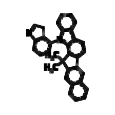 CC1(C)c2cc3ccccc3cc2-c2ccc3c4ccccc4n(-c4cccc5c4CC=N5)c3c21